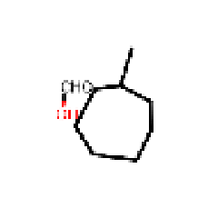 CC1CCCCCC1.O=CO